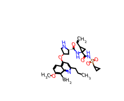 Bc1c(OC)ccc2c(O[C@H]3CN[C@H](C(=O)N[C@]4(C(=O)NS(=O)(=O)C5CC5)CC4C=C)C3)cc(CCC)nc12